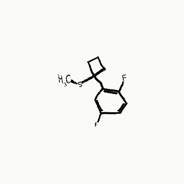 CSC1(c2cc(F)ccc2F)CCC1